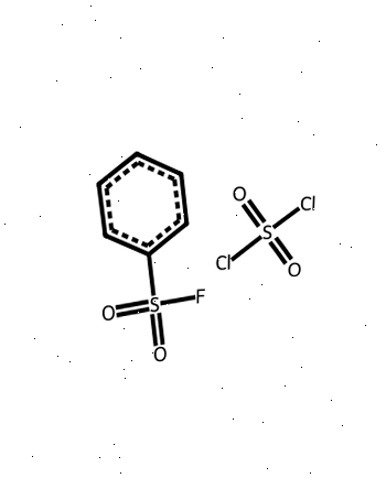 O=S(=O)(Cl)Cl.O=S(=O)(F)c1ccccc1